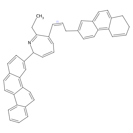 CCC1=NC(c2ccc3ccc4c5ccccc5ccc4c3c2)C=CC=C1/C=C\Cc1ccc2c3c(ccc2c1)CCC=C3